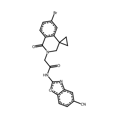 N#Cc1ccc2oc(NC(=O)CN3CC4(CC4)c4cc(Br)ccc4C3=O)nc2c1